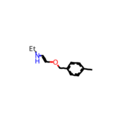 CCNC=COCc1ccc(C)cc1